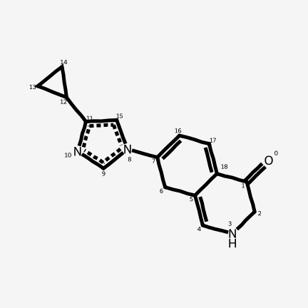 O=C1CNC=C2CC(n3cnc(C4CC4)c3)=CC=C12